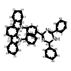 c1ccc(C2=NC(c3ccc(-n4c5ccccc5c5ccc6c7ccccc7n(-c7ccccc7)c6c54)nc3)=NC(c3ccccc3)N2)cc1